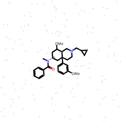 COc1cccc(C23CCN(CC4CC4)CC2C(OC)C[C@@H](N(C)C(=O)c2ccccc2)C3)c1